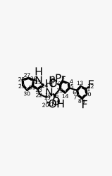 CCCOc1ccc(-c2cc(F)cc(F)c2)cc1C(=O)N[C@H](CO)Cc1c[nH]c2ccccc12